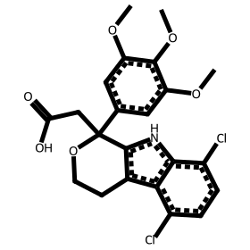 COc1cc(C2(CC(=O)O)OCCc3c2[nH]c2c(Cl)ccc(Cl)c32)cc(OC)c1OC